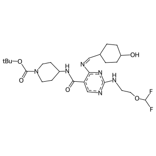 CC(C)(C)OC(=O)N1CCC(NC(=O)c2cnc(NCCOC(F)F)nc2/N=C\C2CCC(O)CC2)CC1